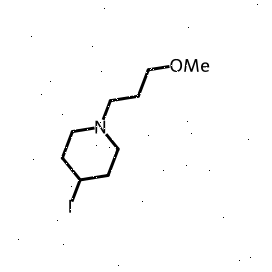 COCCCN1CCC(I)CC1